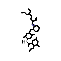 C=CC(/C=C1\CCCCC1CC1CC(C)C(NC(C)C2CC(C)CC(C)C2CCC)CC1C)CCC(CC)CCC